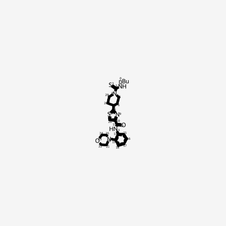 CCCCNC(=S)N1CCC(c2nc(C(=O)Nc3ccccc3N3CCOCC3)cs2)CC1